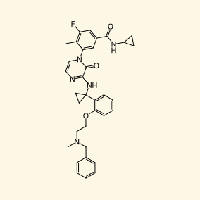 Cc1c(F)cc(C(=O)NC2CC2)cc1-n1ccnc(NC2(c3ccccc3OCCN(C)Cc3ccccc3)CC2)c1=O